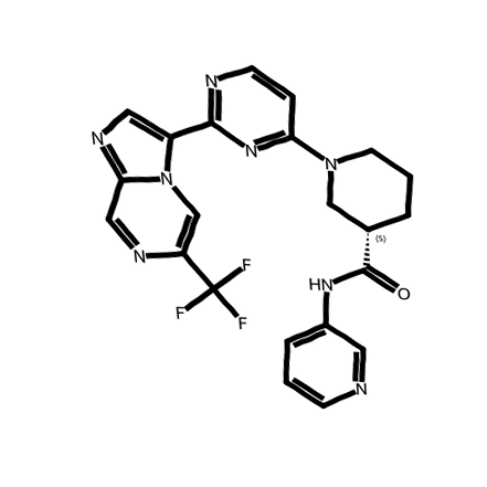 O=C(Nc1cccnc1)[C@H]1CCCN(c2ccnc(-c3cnc4cnc(C(F)(F)F)cn34)n2)C1